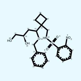 O=[N+]([O-])c1ccccc1S(=O)(=O)NCC1(C(C[C@@H](O)CO)OCc2ccccc2)CCC1